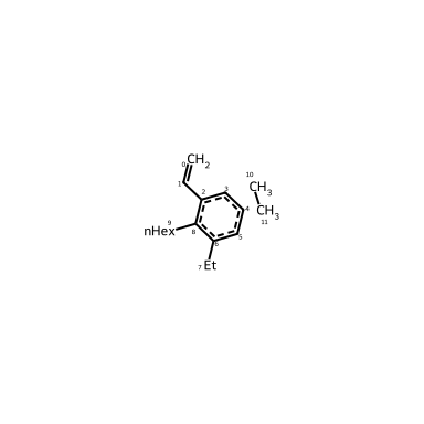 C=Cc1cccc(CC)c1CCCCCC.CC